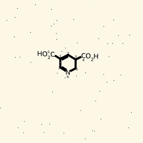 O=C(O)C1=CC(C(=O)O)CN=C1